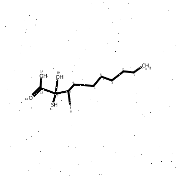 CCCCCCCC(I)C(O)(S)C(=O)O